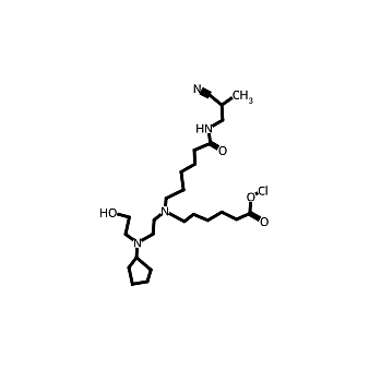 CC(C#N)CNC(=O)CCCCCN(CCCCCC(=O)OCl)CCN(CCO)C1CCCC1